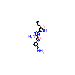 NCCc1cccc(-c2cc(-c3nc(-c4c[nH]c(=O)c(CCC5CC5)c4)cnc3N)on2)c1